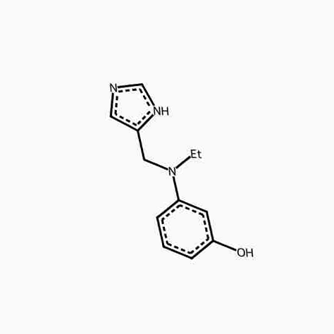 CCN(Cc1cnc[nH]1)c1cccc(O)c1